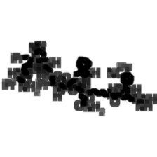 CC(C)C[C@H](NC(=O)C[C@H](O)[C@H](CC(C)C)NC(=O)[C@H](Cc1cncn1C)NC(=O)CNC(=O)[C@@H](NC(=O)[C@H](C)NC(=O)[C@H](Cc1c[nH]c2ccccc12)NC(=O)[C@H](CCC(N)=O)NC(=O)CCCCNC(=O)[C@H](CCCNC(=N)N)NC(=O)c1ccc([18F])c(C#N)c1)C(C)C)C(N)=O